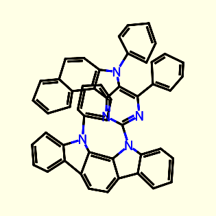 c1ccc(-c2nc(-n3c4ccccc4c4ccc5c6ccccc6n(-c6ccccc6)c5c43)nc3c4c5ccccc5ccc4n(-c4ccccc4)c23)cc1